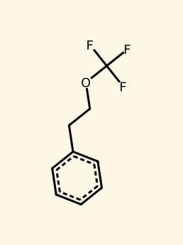 FC(F)(F)OCCc1ccccc1